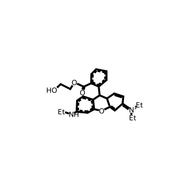 CCNc1ccc2c(c1)OC1=CC(=[N+](CC)CC)C=CC1C2c1ccccc1C(=O)OCCO